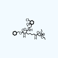 CCOP(=O)(CC(=O)NCCCCC(NC(=O)OCc1ccccc1)C(=O)N[C@H](CO)Cc1cccc(Cl)c1)OCC